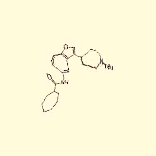 CCCCN1CCC(c2coc3ccc(NC(=O)C4CCCCCC4)cc23)CC1